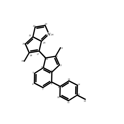 CC1=Cc2c(cccc2-c2ccc(C)cc2)[C]1C1=C(C)C=C2C=CN=C21